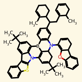 CC1=CCCCC1C(CC1=CC=CCC1C)c1ccc2c(c1)N(C1=C3Oc4ccccc4C3CC=C1)C1CC(C(C)(C)C)=CC3=C1B2c1cc(C(C)(C)C)cc2c4c5ccccc5sc4n3c12